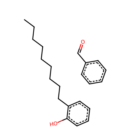 CCCCCCCCCc1ccccc1O.O=Cc1ccccc1